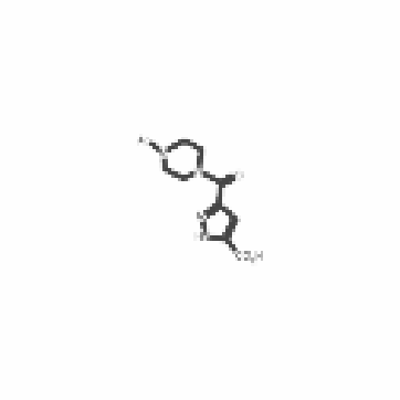 CC(=O)N1CCN(C(=O)c2cc(C(=O)O)[nH]n2)CC1